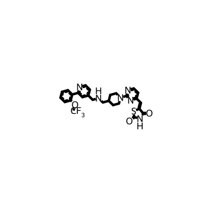 O=C1NC(=O)C(=Cc2ccnc(N3CCC(CNCc4ccnc(-c5ccccc5OC(F)(F)F)c4)CC3)n2)S1